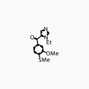 CCn1cncc1C(=O)c1ccc(SC)c(OC)c1